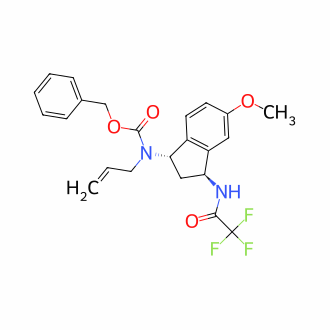 C=CCN(C(=O)OCc1ccccc1)[C@H]1C[C@H](NC(=O)C(F)(F)F)c2cc(OC)ccc21